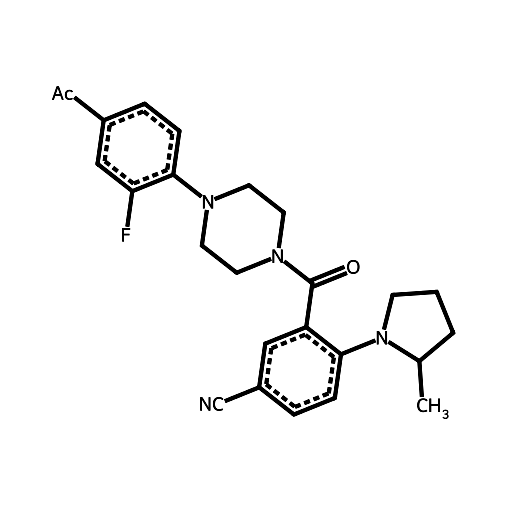 CC(=O)c1ccc(N2CCN(C(=O)c3cc(C#N)ccc3N3CCCC3C)CC2)c(F)c1